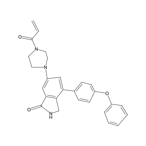 C=CC(=O)N1CCN(c2cc3c(c(-c4ccc(Oc5ccccc5)cc4)c2)CNC3=O)CC1